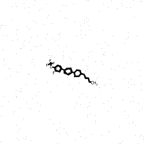 CCCCCC1CCC(c2ccc(-c3ccc(OC(F)(F)F)c(F)c3)cc2)CC1